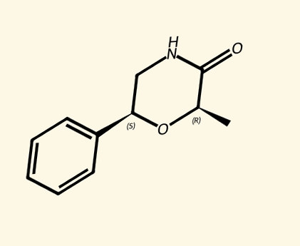 C[C@H]1O[C@@H](c2ccccc2)CNC1=O